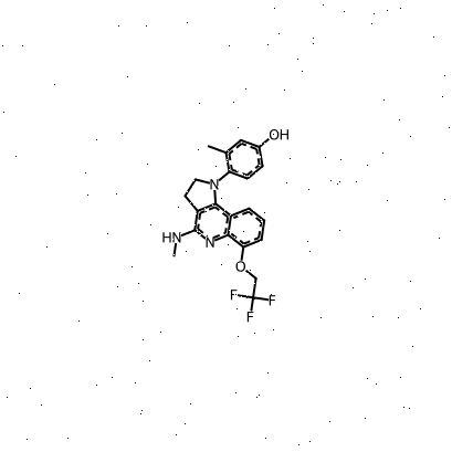 CNc1nc2c(OCC(F)(F)F)cccc2c2c1CCN2c1ccc(O)cc1C